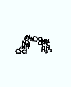 CC(C)NC(=O)OC1CCN(c2nccc3nc(NCc4ccccc4Cl)ncc23)CC1